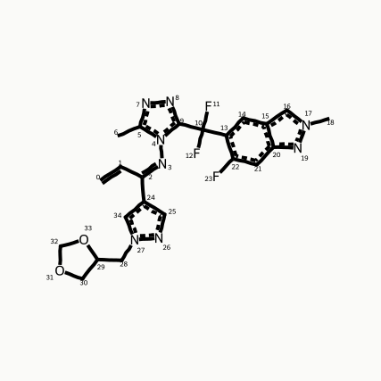 C=C/C(=N\n1c(C)nnc1C(F)(F)c1cc2cn(C)nc2cc1F)c1cnn(CC2COCO2)c1